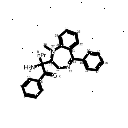 CCCC(N)(C(=O)c1ccccc1)C1CN=C(c2ccccc2)c2ccccc2N1C